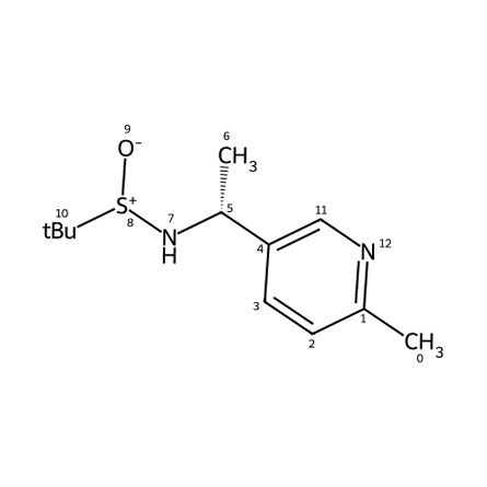 Cc1ccc([C@@H](C)N[S+]([O-])C(C)(C)C)cn1